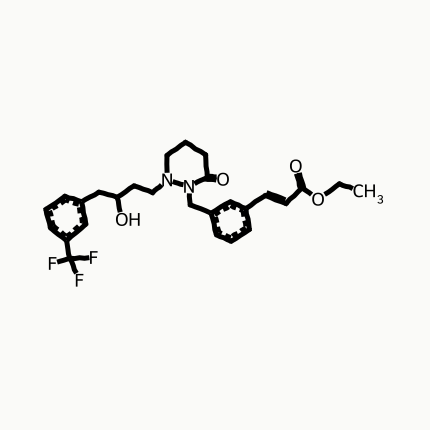 CCOC(=O)C=Cc1cccc(CN2C(=O)CCCN2CCC(O)Cc2cccc(C(F)(F)F)c2)c1